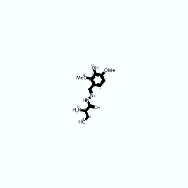 COc1ccc(/C=N/NC(=O)C(N)CO)c(OC)c1O